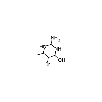 CC1NC(N)NC(O)C1Br